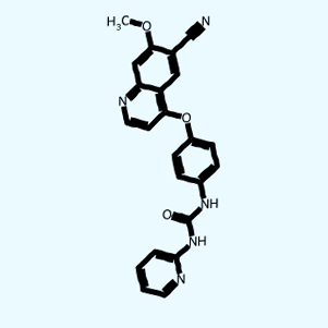 COc1cc2nccc(Oc3ccc(NC(=O)Nc4ccccn4)cc3)c2cc1C#N